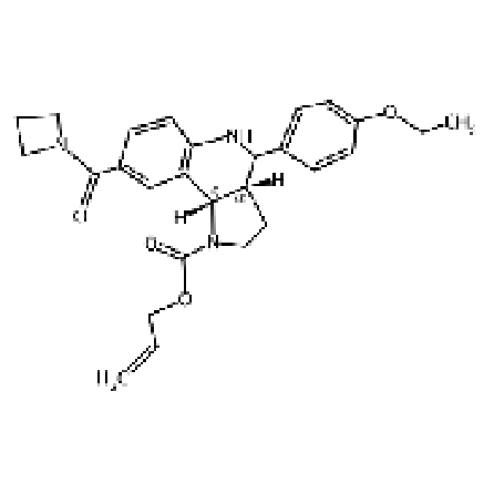 C=CCOC(=O)N1CC[C@H]2C(c3ccc(OCC)cc3)Nc3ccc(C(=O)N4CCC4)cc3[C@H]21